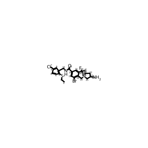 CCSc1ccc(Cl)cc1CNC(=O)c1cc(Br)c(CN2CCC(N)C2)c(C(F)(F)F)c1